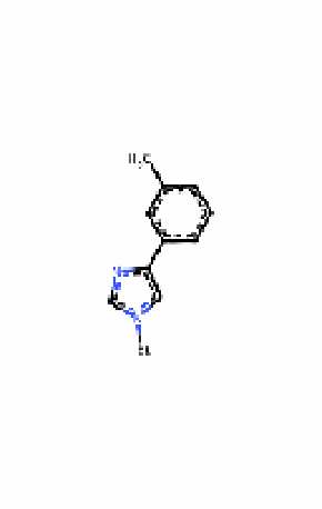 [CH2]c1cccc(-c2cn(CC)cn2)c1